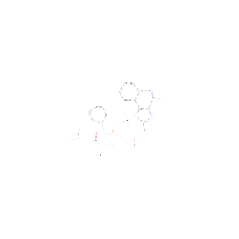 CCOCc1nc2c(N)nc3ccccc3c2n1C(C)(O)CO[P@@](=O)(N[C@@H](C)C(=O)OC(C)C)Oc1ccccc1